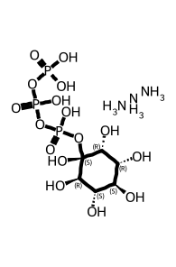 N.N.N.O=P(O)(O)OP(=O)(O)OP(=O)(O)O[C@]1(O)[C@H](O)[C@H](O)[C@@H](O)[C@H](O)[C@H]1O